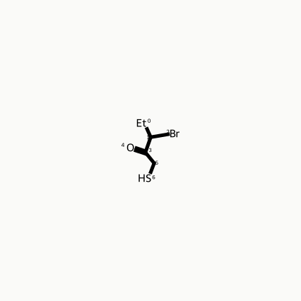 CCC(Br)C(=O)CS